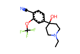 CCN1CCC(O)(c2ccc(C#N)c(OC(F)(F)F)c2)CC1